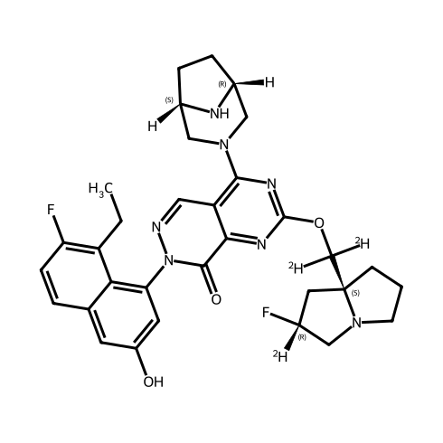 [2H]C([2H])(Oc1nc(N2C[C@H]3CC[C@@H](C2)N3)c2cnn(-c3cc(O)cc4ccc(F)c(CC)c34)c(=O)c2n1)[C@@]12CCCN1C[C@]([2H])(F)C2